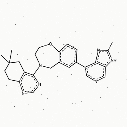 Cc1nc2c(-c3ccc4c(c3)CN(c3ncnc5c3CC(C)(C)CC5)CCO4)cncc2[nH]1